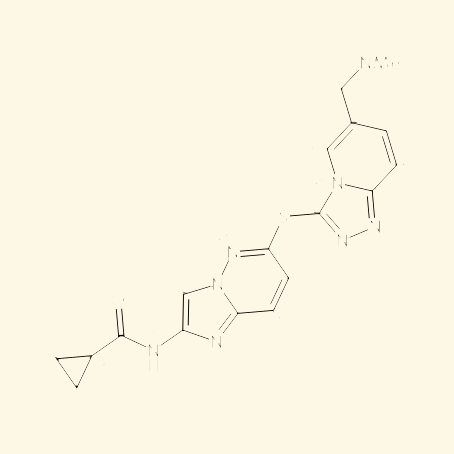 CNCc1ccc2nnc(Sc3ccc4nc(NC(=O)C5CC5)cn4n3)n2c1